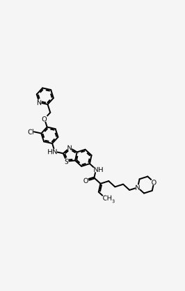 C/C=C(\CCCCN1CCOCC1)C(=O)Nc1ccc2nc(Nc3ccc(OCc4ccccn4)c(Cl)c3)sc2c1